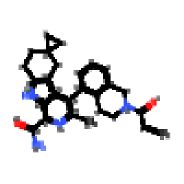 C=CC(=O)N1CCc2c(cccc2-c2c(C)nc(C(N)=O)c3[nH]c4c(c23)CC2(CC4)CC2)C1